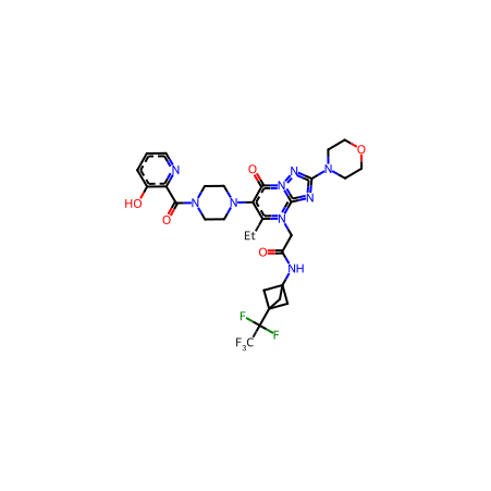 CCc1c(N2CCN(C(=O)c3ncccc3O)CC2)c(=O)n2nc(N3CCOCC3)nc2n1CC(=O)NC12CC(C(F)(F)C(F)(F)F)(C1)C2